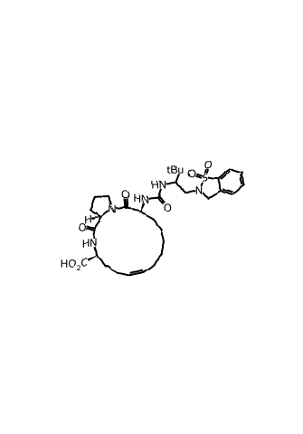 CC(C)(C)C(CN1Cc2ccccc2S1(=O)=O)NC(=O)N[C@H]1CCCCC/C=C\CC[C@@H](C(=O)O)NC(=O)[C@@H]2CCCN2C1=O